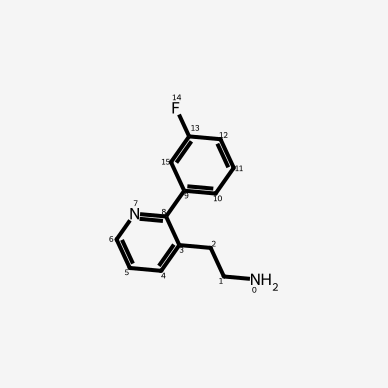 NCCc1cccnc1-c1cccc(F)c1